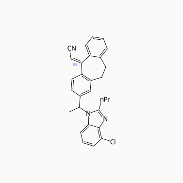 CCCc1nc2c(Cl)cccc2n1C(C)c1ccc2c(c1)CCc1ccccc1/C2=C\C#N